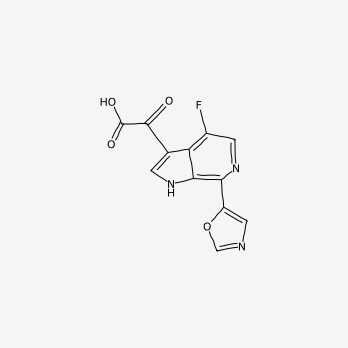 O=C(O)C(=O)c1c[nH]c2c(-c3cnco3)ncc(F)c12